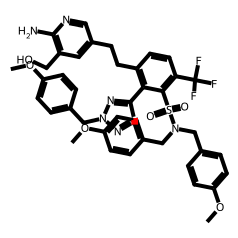 COc1ccc(CN(Cc2ccc(OC)cc2)S(=O)(=O)c2c(C(F)(F)F)ccc(CCc3cnc(N)c(CO)c3)c2-c2nnn(Cc3ccc(OC)cc3)n2)cc1